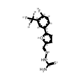 NC(=S)N/N=C/c1ccc(-c2ccc(F)c(C(F)(F)F)c2)o1